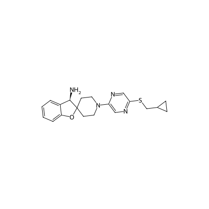 N[C@@H]1c2ccccc2OC12CCN(c1cnc(SCC3CC3)cn1)CC2